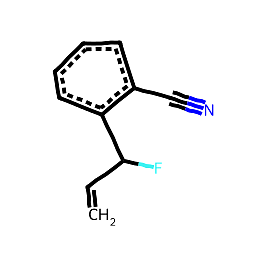 C=CC(F)c1ccccc1C#N